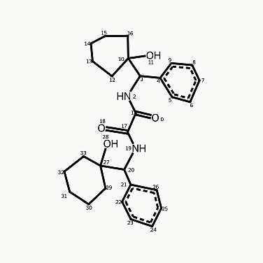 O=C(NC(c1ccccc1)C1(O)CCCCC1)C(=O)NC(c1ccccc1)C1(O)CCCCC1